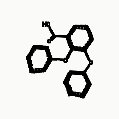 O=C(O)c1cccc(Oc2ccccc2)c1Oc1ccccc1